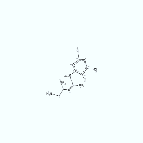 C=C(/C(N)=N\C(N)CN)c1cc(Cl)cc(Cl)c1Cl